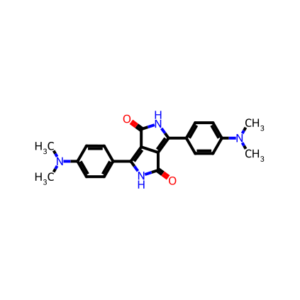 CN(C)c1ccc(C2=C3C(=O)NC(c4ccc(N(C)C)cc4)=C3C(=O)N2)cc1